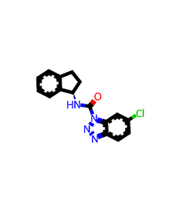 O=C(N[C@H]1CCc2ccccc21)n1nnc2ccc(Cl)cc21